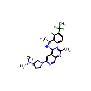 Cc1nc(N[C@H](C)c2cccc(C(C)(F)F)c2F)c2cc(N3CC[C@@H](N(C)C)C3)ncc2n1